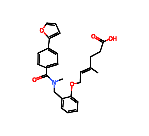 C/C(=C\COc1ccccc1CN(C)C(=O)c1ccc(-c2ccco2)cc1)CCC(=O)O